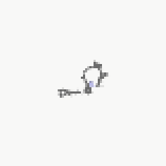 CCCC1(CCCCNc2ccc3c(c2)N2CC(C)CCCOc4c(cnn4C)-c4cc(cc(C)n4)C(=O)/N=C/2N3)CCOCC1